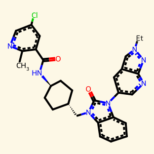 CCn1cc2cc(-n3c(=O)n(C[C@H]4CC[C@H](NC(=O)c5cc(Cl)cnc5C)CC4)c4ccccc43)cnc2n1